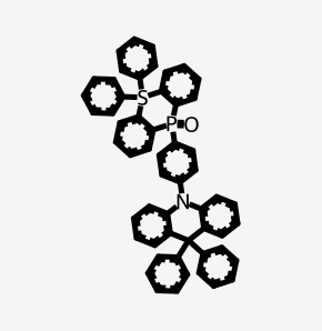 O=P1(c2ccc(N3c4ccccc4C(c4ccccc4)(c4ccccc4)c4ccccc43)cc2)c2ccccc2S(c2ccccc2)(c2ccccc2)c2ccccc21